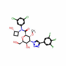 CO[C@@H]1[C@@H](n2cc(-c3cc(F)c(F)c(F)c3)nn2)[C@@H](O)[C@@H](CO)O[C@H]1C(=O)N(c1cc(Cl)cc(Cl)c1)[C@H]1CC[C@@H]1O